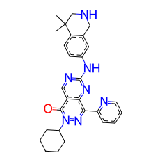 CC1(C)CNCc2cc(Nc3ncc4c(=O)n(C5CCCCC5)nc(-c5ccccn5)c4n3)ccc21